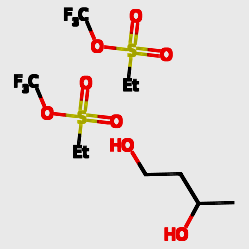 CC(O)CCO.CCS(=O)(=O)OC(F)(F)F.CCS(=O)(=O)OC(F)(F)F